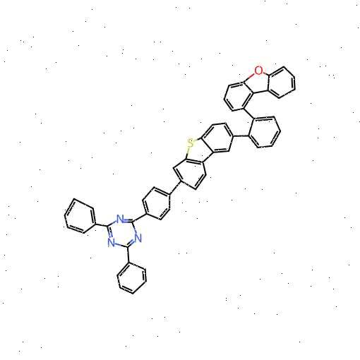 c1ccc(-c2nc(-c3ccccc3)nc(-c3ccc(-c4ccc5c(c4)sc4ccc(-c6ccccc6-c6cccc7oc8ccccc8c67)cc45)cc3)n2)cc1